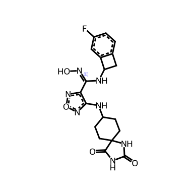 O=C1NC(=O)C2(CCC(Nc3nonc3/C(=N\O)NC3Cc4ccc(F)cc43)CC2)N1